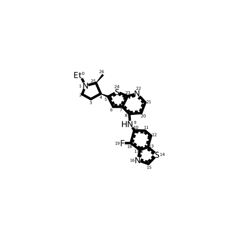 CCN1CC[C@H](c2cc3c(Nc4ccc5scnc5c4F)ccnc3s2)[C@@H]1C